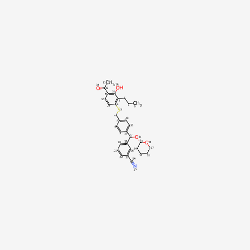 CCCc1c(SCc2ccc(C(O[C@H]3CCCCO3)c3cccc(C#N)c3)cc2)ccc(C(C)=O)c1O